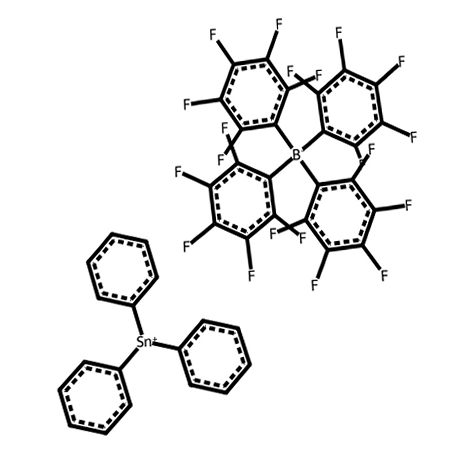 Fc1c(F)c(F)c([B-](c2c(F)c(F)c(F)c(F)c2F)(c2c(F)c(F)c(F)c(F)c2F)c2c(F)c(F)c(F)c(F)c2F)c(F)c1F.c1cc[c]([Sn+]([c]2ccccc2)[c]2ccccc2)cc1